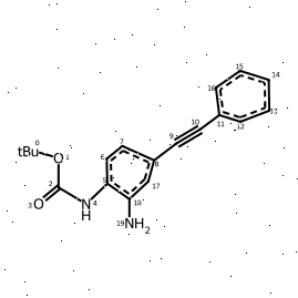 CC(C)(C)OC(=O)Nc1ccc(C#Cc2ccccc2)cc1N